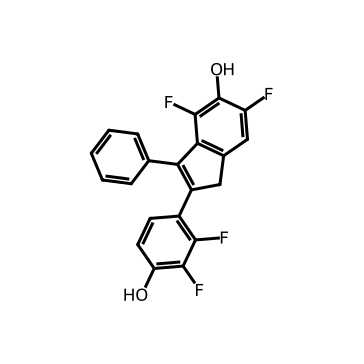 Oc1ccc(C2=C(c3ccccc3)c3c(cc(F)c(O)c3F)C2)c(F)c1F